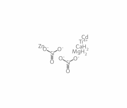 O=[Si]([O-])[O-].O=[Si]([O-])[O-].[CaH2].[Cd].[MgH2].[Ti+4].[Zn]